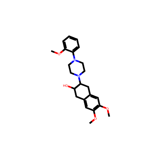 COc1cc2c(cc1OC)CC(N1CCN(c3ccccc3OC)CC1)C(O)C2